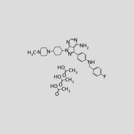 CC(=O)O.CC(=O)O.CC(=O)O.CN1CCN(C2CCC(n3nc(-c4ccc(NCc5ccc(F)cc5)cc4)c4c(N)ncnc43)CC2)CC1